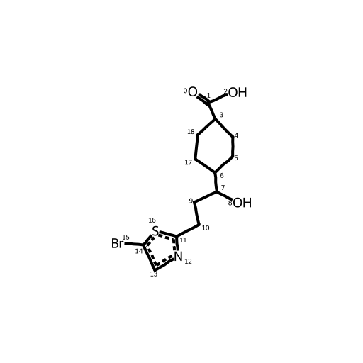 O=C(O)C1CCC(C(O)CCc2ncc(Br)s2)CC1